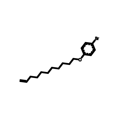 C=CCCCCCCCCCOc1ccc(Br)cc1